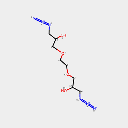 [N-]=[N+]=NCC(O)COCCOCC(O)CN=[N+]=[N-]